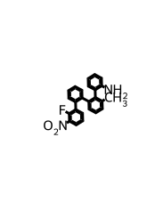 Cc1cccc(-c2ccccc2-c2cccc([N+](=O)[O-])c2F)c1-c1ccccc1N